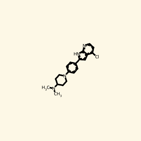 CN(C)C1CCN(c2ccc(-c3cc4c(Cl)ccnc4[nH]3)cc2)CC1